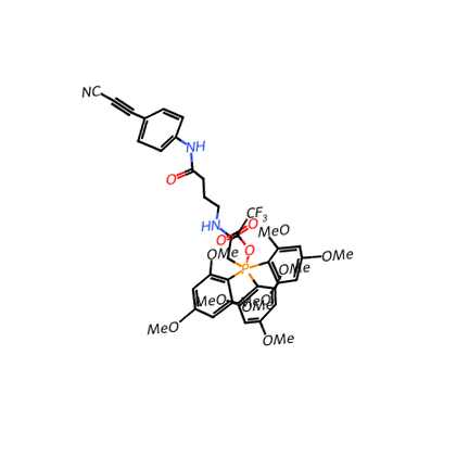 COc1cc(OC)c(P(CC(=O)NCCCC(=O)Nc2ccc(C#CC#N)cc2)(OC(=O)C(F)(F)F)(c2c(OC)cc(OC)cc2OC)c2c(OC)cc(OC)cc2OC)c(OC)c1